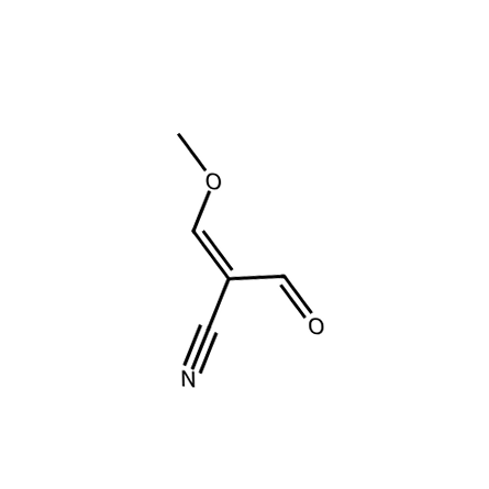 COC=C(C#N)C=O